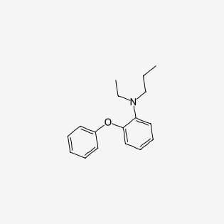 CCCN(CC)c1ccccc1Oc1ccccc1